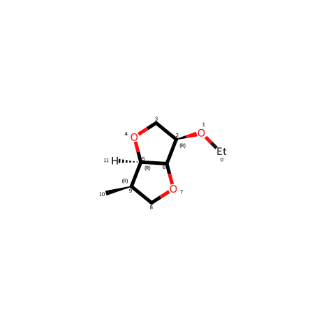 CCO[C@@H]1CO[C@H]2C1OC[C@H]2C